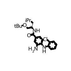 CC(C)C[C@@H](COC(C)(C)C)NC(=O)c1ccc(Nc2ccccc2Cl)c(N)c1